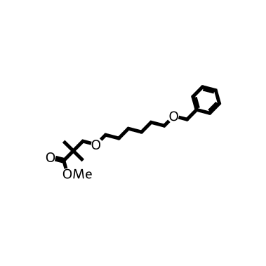 COC(=O)C(C)(C)COCCCCCCOCc1ccccc1